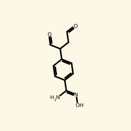 NC(=NO)c1ccc(C([C]=O)CC=O)cc1